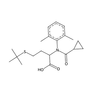 Cc1cccc(C)c1N(C(=O)C1CC1)C(CCSC(C)(C)C)C(=O)O